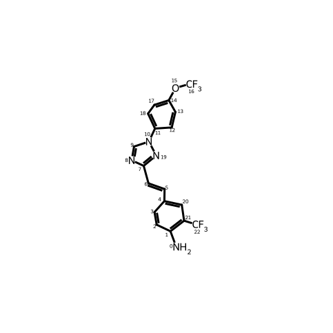 Nc1ccc(/C=C/c2ncn(-c3ccc(OC(F)(F)F)cc3)n2)cc1C(F)(F)F